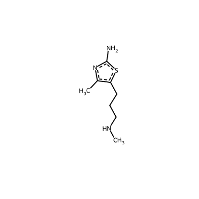 CNCCCc1sc(N)nc1C